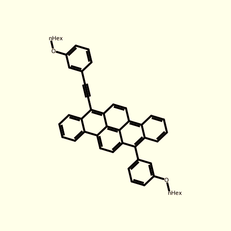 CCCCCCOc1cccc(C#Cc2c3ccccc3c3ccc4c(-c5cccc(OCCCCCC)c5)c5ccccc5c5ccc2c3c45)c1